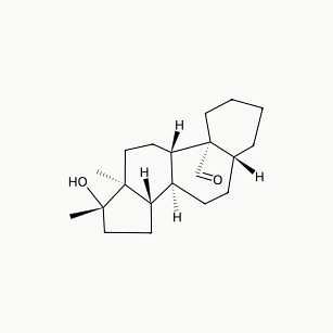 C[C@]1(O)CC[C@H]2[C@@H]3CC[C@H]4CCCC[C@]4(C=O)[C@H]3CC[C@@]21C